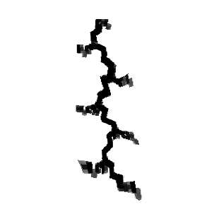 C=CC[SiH](C)CCC[SiH](C)CCC[SiH](C)CCC[SiH](C)CCC[SiH](C)CCC[SiH3]